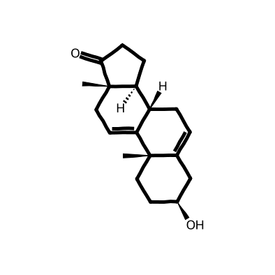 C[C@]12CC[C@H](O)CC1=CC[C@@H]1C2=CC[C@]2(C)C(=O)CC[C@@H]12